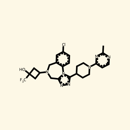 Cc1nccc(N2CCC(c3nnc4n3-c3ccc(Cl)cc3CN(C3CC(O)(C(F)(F)F)C3)C4)CC2)n1